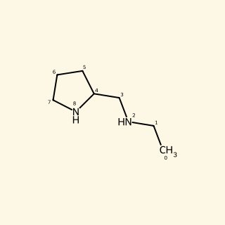 CCNCC1CCCN1